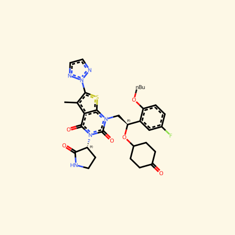 CCCCOc1ccc(F)cc1[C@H](Cn1c(=O)n([C@@H]2CCNC2=O)c(=O)c2c(C)c(-n3nccn3)sc21)OC1CCC(=O)CC1